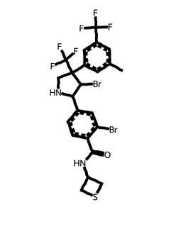 Cc1cc(C(F)(F)F)cc(C2(C(F)(F)F)CNC(c3ccc(C(=O)NC4CSC4)c(Br)c3)C2Br)c1